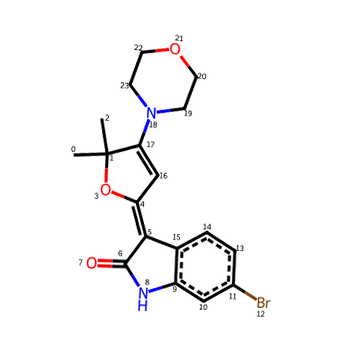 CC1(C)OC(=C2C(=O)Nc3cc(Br)ccc32)C=C1N1CCOCC1